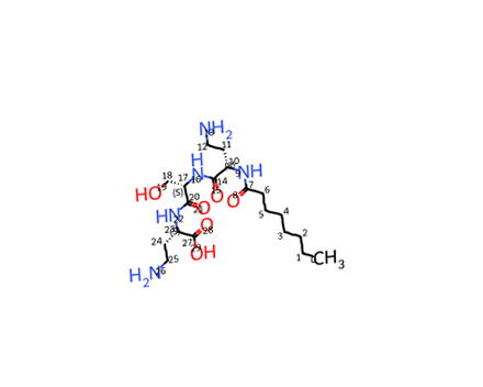 CCCCCCCC(=O)N[C@@H](CCN)C(=O)N[C@@H](CO)C(=O)N[C@@H](CCN)C(=O)O